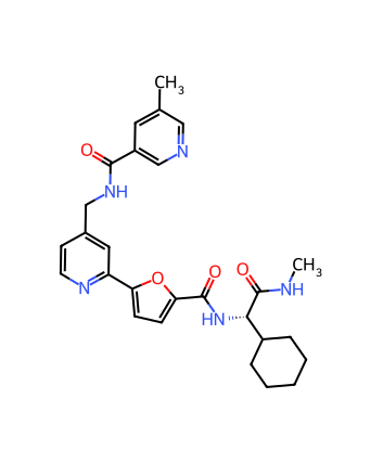 CNC(=O)[C@@H](NC(=O)c1ccc(-c2cc(CNC(=O)c3cncc(C)c3)ccn2)o1)C1CCCCC1